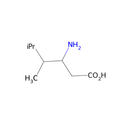 CC(C)C(C)C(N)CC(=O)O